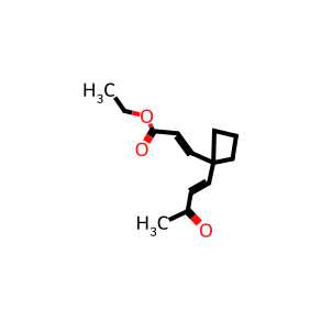 CCOC(=O)/C=C/C1(/C=C/C(C)=O)CCC1